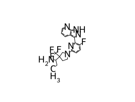 CCC(N)C1(C(F)(F)F)CCN(c2ccc(F)c(-c3n[nH]c4ncccc34)n2)C1